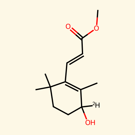 [2H]C1(O)CCC(C)(C)C(C=CC(=O)OC)=C1C